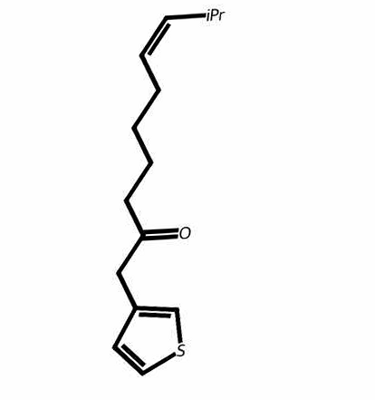 CC(C)/C=C\CCCCC(=O)Cc1ccsc1